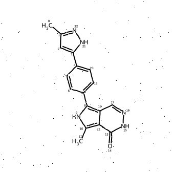 Cc1cc(-c2ccc(-c3[nH]c(C)c4c(=O)[nH]ncc34)cc2)[nH]n1